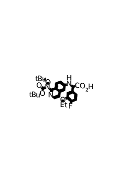 CCOc1cc(C(Nc2ccc3c(N(OC(C)(C)C)C(=O)OC(C)(C)C)nccc3c2)C(=O)O)ccc1F